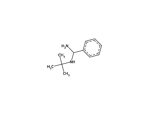 CC(C)(C)NC(N)c1ccccc1